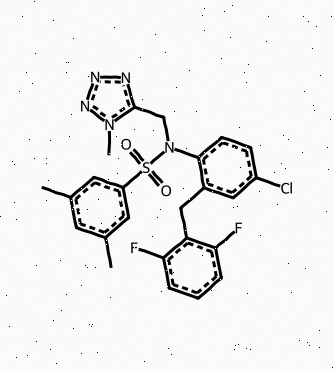 Cc1cc(C)cc(S(=O)(=O)N(Cc2nnnn2C)c2ccc(Cl)cc2Cc2c(F)cccc2F)c1